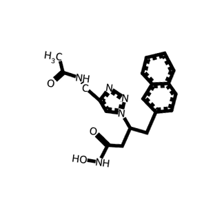 CC(=O)NCc1cn(C(CC(=O)NO)Cc2ccc3ccccc3c2)nn1